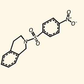 O=[N+]([O-])c1ccc(S(=O)(=O)N2CCc3ccccc3C2)cc1